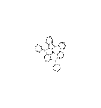 C1=C(N2c3ccccc3B3c4c2cccc4N(c2ccccc2)c2c3n(-c3ccccc3)c3ccccc23)CCCC1